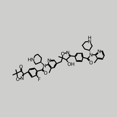 Cc1cccnc1N(C(=O)c1ccc(C2=NOC(C)(Cc3cnc(N(C(=O)c4ccc(C5=NOC(C)(C)C5=O)cc4F)[C@@H]4CCCNC4)c(C)c3)C2O)cc1)[C@@H]1CCCNC1